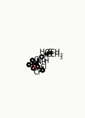 CC(C)(C)OC(=O)NC[C@H]1CC[C@H](C(=O)Nc2nn(C(c3ccccc3)(c3ccccc3)c3ccccc3)c3ccc(-c4c(Cl)cccc4Cl)cc23)CC1